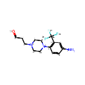 Nc1ccc(N2CCN(CCC=O)CC2)c(C(F)(F)F)c1